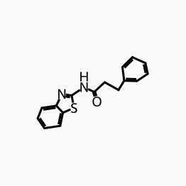 O=C(CCc1ccccc1)Nc1nc2ccccc2s1